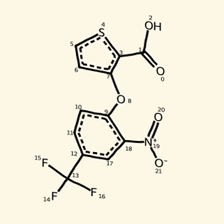 O=C(O)c1sccc1Oc1ccc(C(F)(F)F)cc1[N+](=O)[O-]